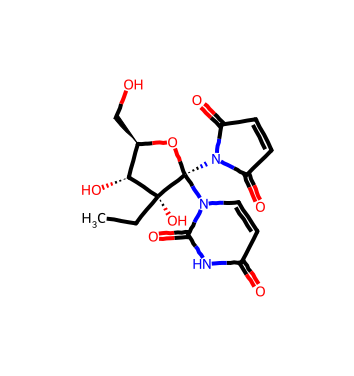 CC[C@@]1(O)[C@H](O)[C@@H](CO)O[C@@]1(N1C(=O)C=CC1=O)n1ccc(=O)[nH]c1=O